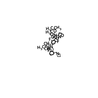 CC(C)(C)OC(=O)N(Cc1c(F)cccc1CN1CCC1)c1cc(F)c(S(=O)(=O)N(C(=O)OC(C)(C)C)c2ccon2)c(F)c1